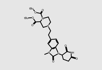 Cn1c(=O)n(C2CCC(=O)NC2=O)c2ccc(CCN3CCN(C(=O)OC(C)(C)C)C(C(=O)OC(C)(C)C)C3)cc21